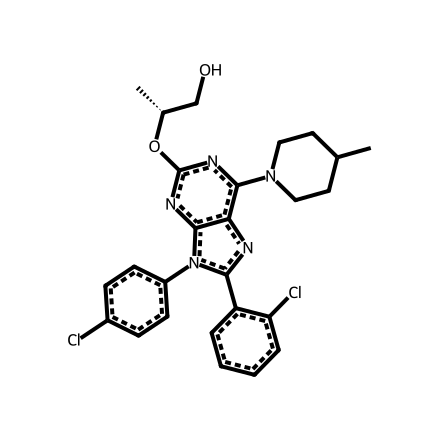 CC1CCN(c2nc(O[C@H](C)CO)nc3c2nc(-c2ccccc2Cl)n3-c2ccc(Cl)cc2)CC1